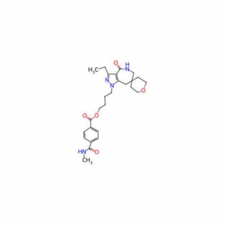 CCc1nn(CCCCOC(=O)c2ccc(C(=O)NC)cc2)c2c1C(=O)NCC1(CCOCC1)C2